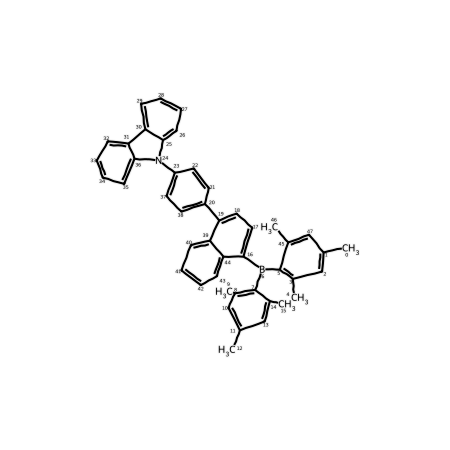 Cc1cc(C)c(B(c2c(C)cc(C)cc2C)c2ccc(-c3ccc(-n4c5ccccc5c5ccccc54)cc3)c3ccccc23)c(C)c1